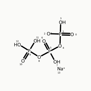 O=P([O-])(O)OP(=O)(O)OP(=O)(O)O.[Na+]